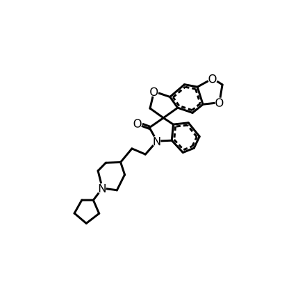 O=C1N(CCC2CCN(C3CCCC3)CC2)c2ccccc2C12COc1cc3c(cc12)OCO3